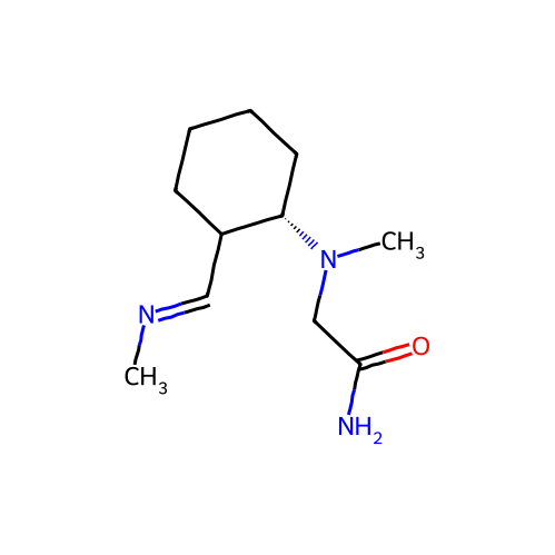 CN=CC1CCCC[C@@H]1N(C)CC(N)=O